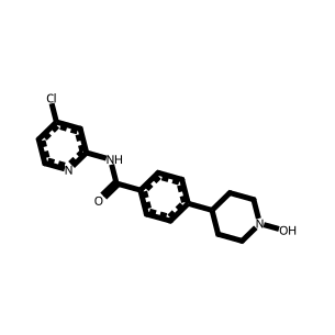 O=C(Nc1cc(Cl)ccn1)c1ccc(C2CCN(O)CC2)cc1